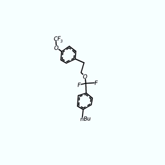 CCCCc1ccc(C(F)(F)OCCc2ccc(OC(F)(F)F)cc2)cc1